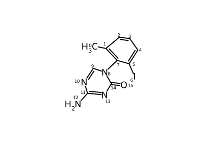 Cc1cccc(I)c1-n1cnc(N)nc1=O